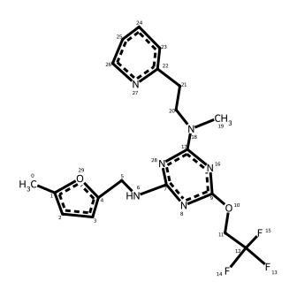 Cc1ccc(CNc2nc(OCC(F)(F)F)nc(N(C)CCc3ccccn3)n2)o1